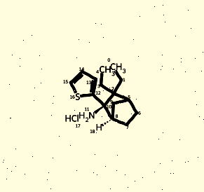 CCC1(CC)C2CC[C@H](C2)[C@]1(N)c1cccs1.Cl